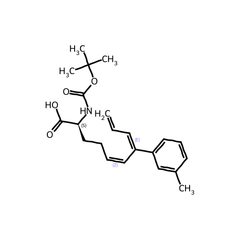 C=C/C=C(\C=C/CC[C@H](NC(=O)OC(C)(C)C)C(=O)O)c1cccc(C)c1